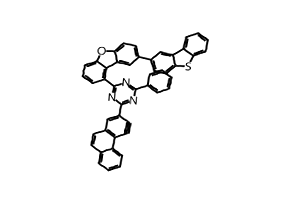 c1c(-c2nc(-c3ccccc3)nc(-c3cccc4oc5ccc(-c6ccc7sc8ccccc8c7c6)cc5c34)n2)cc2ccc3ccccc3c2c#1